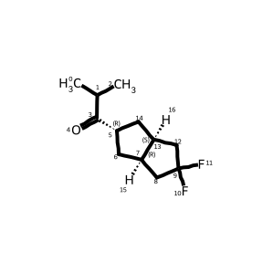 CC(C)C(=O)[C@H]1C[C@@H]2CC(F)(F)C[C@@H]2C1